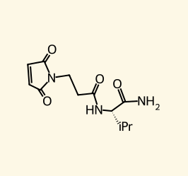 CC(C)[C@H](NC(=O)CCN1C(=O)C=CC1=O)C(N)=O